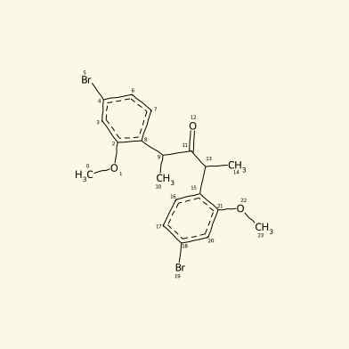 COc1cc(Br)ccc1C(C)C(=O)C(C)c1ccc(Br)cc1OC